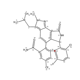 CN(C)Cc1c2cc(-c3c(F)cc(C(F)(F)F)cc3C(N)=O)c3c(c2nn1C)C(=O)NC3c1cc(F)ccc1Cl